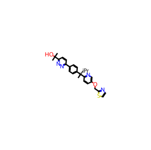 CC(C)[C@@](C)(c1ccc(-c2ccc(C(C)(C)O)nn2)cc1)c1ccc(OCc2nccs2)cn1